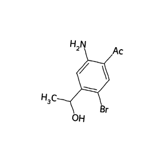 CC(=O)c1cc(Br)c(C(C)O)cc1N